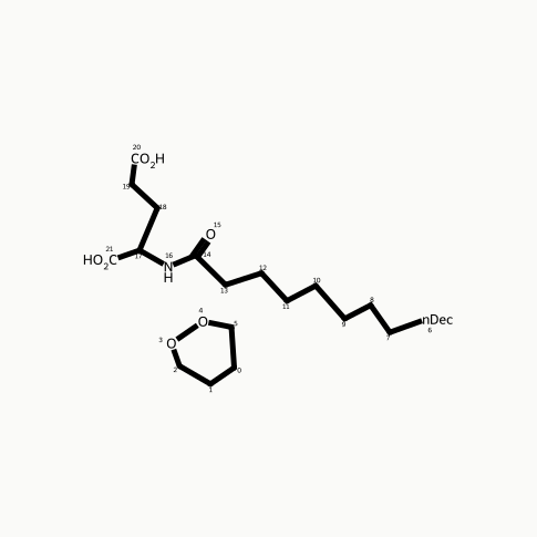 C1CCOOC1.CCCCCCCCCCCCCCCCCC(=O)NC(CCC(=O)O)C(=O)O